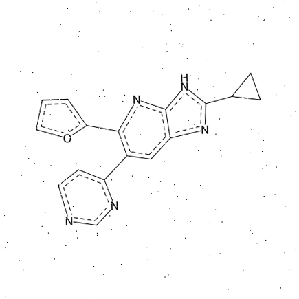 c1coc(-c2nc3[nH]c(C4CC4)nc3cc2-c2ccncn2)c1